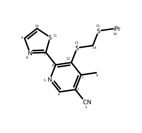 Cc1c(C#N)cnc(-c2nccs2)c1SCSC(C)C